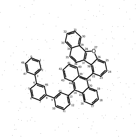 c1ccc(-c2cccc(-c3cccc(-c4c5ccccc5c(-c5cccc6oc7c8ccccc8ccc7c56)c5ccccc45)c3)c2)cc1